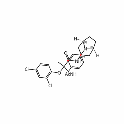 CC(=O)Nc1ccc(N2[C@@H]3CC[C@H]2C[C@@H](NC(=O)C(C)(C)Oc2ccc(Cl)cc2Cl)C3)cc1